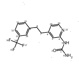 NC(=O)Nc1cc(CCc2cccc(C(F)(F)F)c2)ccn1